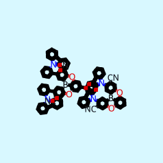 N#Cc1cc2c(cc1-c1ccccc1-n1c3ccccc3c3ccccc31)B1c3cc(-c4ccccc4-n4c5ccccc5c5ccccc54)c(C#N)cc3Oc3cc(-c4cccc5c4c4ccccc4n5-c4cc5c(cc4C#N)Oc4cccc6c4B5c4cc(-n5c7ccccc7c7ccccc75)c(C#N)cc4O6)cc(c31)O2